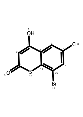 O=c1cc(O)c2cc(Cl)cc(Br)c2s1